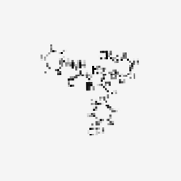 O=C(NN1CCCCC1)c1nc(-c2ccccc2Cl)c(Cc2ccc(Cl)cc2)[nH]1